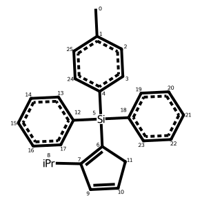 Cc1ccc([Si](C2=C(C(C)C)C=CC2)(c2ccccc2)c2ccccc2)cc1